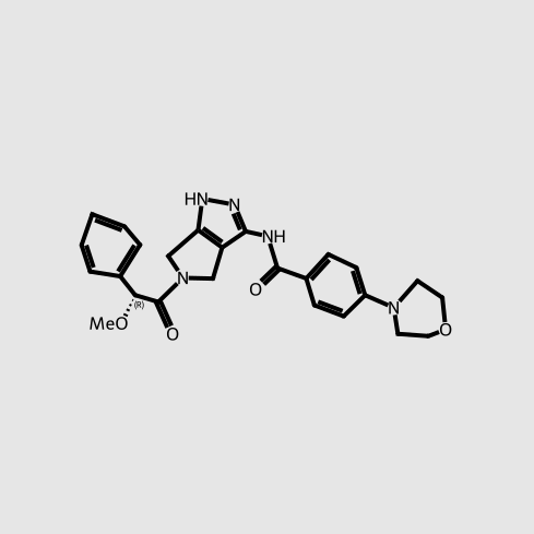 CO[C@@H](C(=O)N1Cc2[nH]nc(NC(=O)c3ccc(N4CCOCC4)cc3)c2C1)c1ccccc1